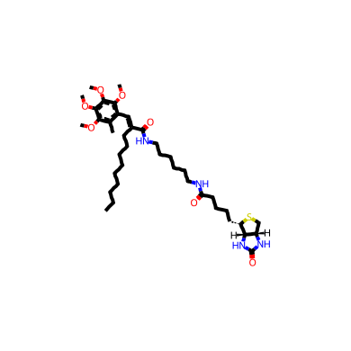 CCCCCCCCC/C(=C\c1c(C)c(OC)c(OC)c(OC)c1OC)C(=O)NCCCCCCNC(=O)CCCC[C@@H]1SC[C@@H]2NC(=O)N[C@@H]21